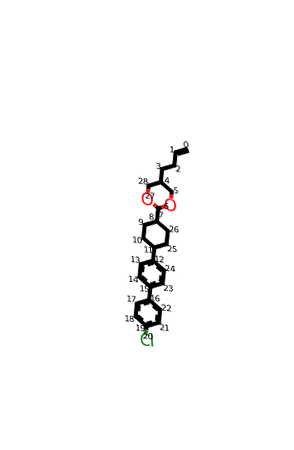 C=CCCC1COC(C2CCC(c3ccc(-c4ccc(Cl)cc4)cc3)CC2)OC1